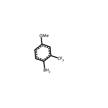 Bc1ccc(OC)cc1C(F)(F)F